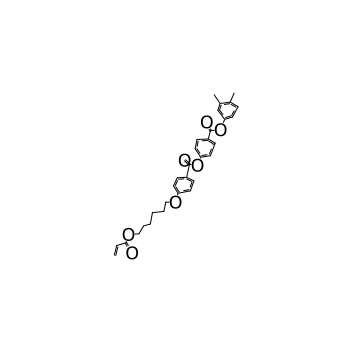 C=CC(=O)OCCCCCCOc1ccc(C(=O)Oc2ccc(C(=O)Oc3ccc(C)c(C)c3)cc2)cc1